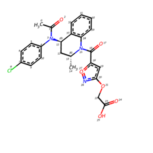 CC(=O)N(c1ccc(Cl)cc1)[C@@H]1C[C@@H](C)N(C(=O)c2cc(OCC(=O)O)no2)c2ccccc21